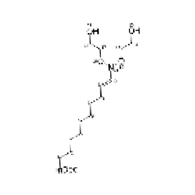 CCCCCCCCCCCCCCCCCCC=CN(OCCO)OCCO